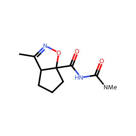 CNC(=O)NC(=O)C12CCCC1C(C)=NO2